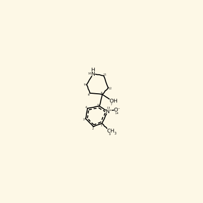 Cc1cccc(C2(O)CCNCC2)[n+]1[O-]